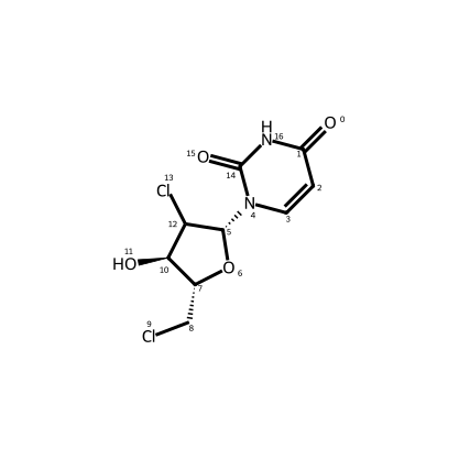 O=c1ccn([C@@H]2O[C@H](CCl)[C@@H](O)C2Cl)c(=O)[nH]1